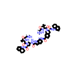 CN[C@@H](C)C(=O)N[C@H](C(=O)N1Cc2cc(C(=O)Nc3ccc4cc(C(=O)N[C@H]5C[C@@H](C(=O)N[C@@H]6CCCc7ccccc76)N(C(=O)[C@@H](NC(=O)[C@H](C)NC)C(C)(C)C)C5)[nH]c4c3)ccc2C[C@H]1C(=O)N[C@@H]1CCCc2ccccc21)C(C)(C)C